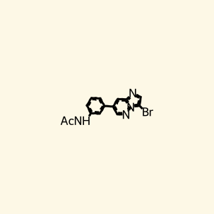 CC(=O)Nc1cccc(-c2cnn3c(Br)cnc3c2)c1